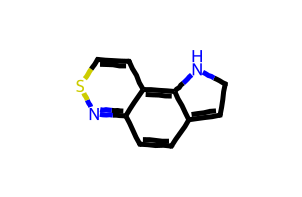 C1=Cc2c3c(ccc2=NS1)=CCN3